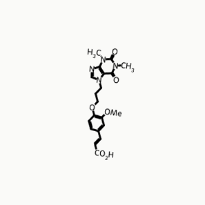 COc1cc(C=CC(=O)O)ccc1OCCCn1cnc2c1c(=O)n(C)c(=O)n2C